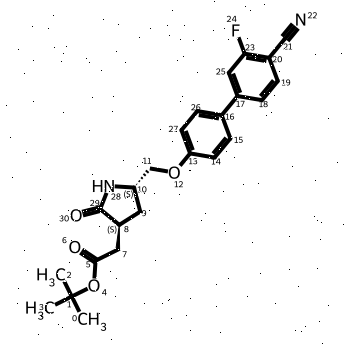 CC(C)(C)OC(=O)C[C@@H]1C[C@@H](COc2ccc(-c3ccc(C#N)c(F)c3)cc2)NC1=O